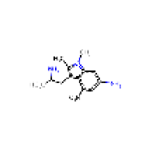 Cc1c(CC(N)C(=O)O)c2c([N+](=O)[O-])cc(N)cc2n1C